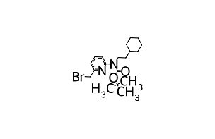 CC(C)(C)OC(=O)N(CCC1CCCCC1)c1cccc(CBr)n1